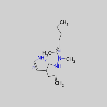 C=CCC(/C=C\N)CNN(C)/C(C)=C/CCCC